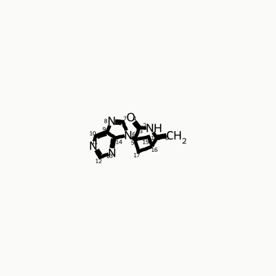 C=C1NC(=O)C2(n3cnc4cncnc43)CC1C2